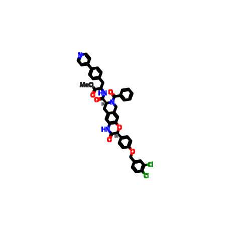 COC(=O)C(Cc1ccc(-c2ccncc2)cc1)NC(=O)[C@@H]1Cc2cc3c(cc2CN1C(=O)c1ccccc1)O[C@@H](c1ccc(OCc2ccc(Cl)c(Cl)c2)cc1)C(=O)N3